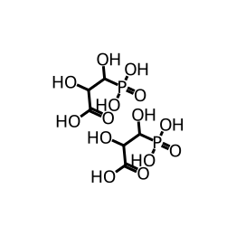 O=C(O)C(O)C(O)P(=O)(O)O.O=C(O)C(O)C(O)P(=O)(O)O